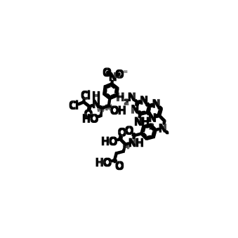 CN(Cc1cnc2nc(N)nc(N)c2n1)c1ccc(C(=O)N[C@@H](CCC(=O)O)C(=O)O)cc1.O=C(N[C@H](CO)[C@H](O)c1ccc([N+](=O)[O-])cc1)C(Cl)Cl